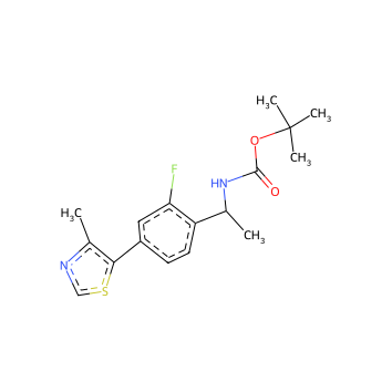 Cc1ncsc1-c1ccc(C(C)NC(=O)OC(C)(C)C)c(F)c1